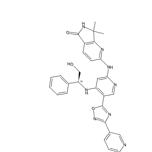 CC1(C)NC(=O)c2ccc(Nc3cc(N[C@H](CO)c4ccccc4)c(-c4nc(-c5cccnc5)no4)cn3)nc21